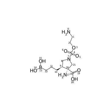 NCCOS(=O)(=O)N1C[C@H](CCCB(O)O)[C@](N)(C(=O)O)C1